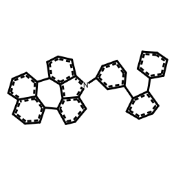 c1ccc(-c2ccccc2-c2cccc(-n3c4cccc5c4c4c(cccc43)-c3cccc4cccc-5c34)c2)cc1